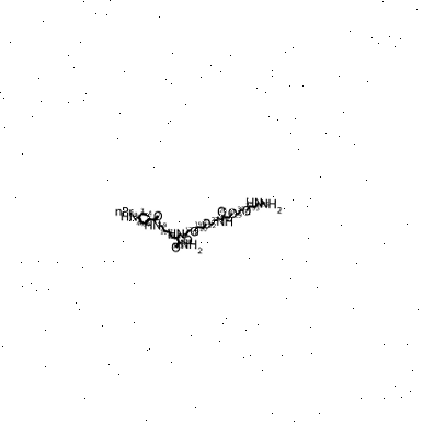 CCCNc1ccc(C(=O)NCCCCC(NC(=O)COCCOCCNC(=O)COCCOCCNN)C(N)=O)cc1